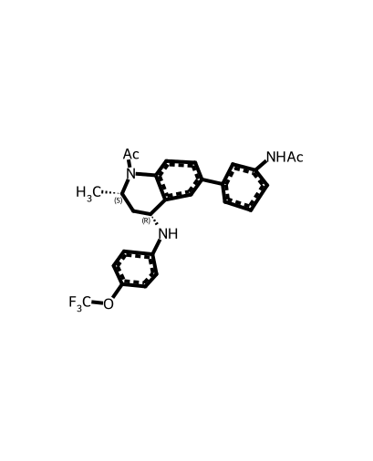 CC(=O)Nc1cccc(-c2ccc3c(c2)[C@H](Nc2ccc(OC(F)(F)F)cc2)C[C@H](C)N3C(C)=O)c1